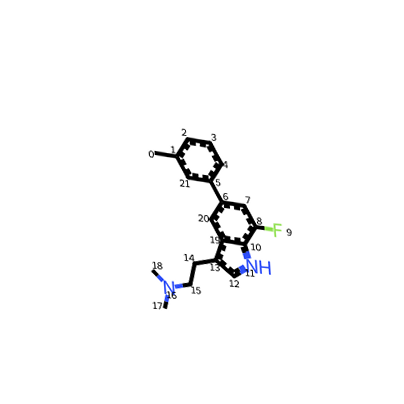 Cc1cccc(-c2cc(F)c3[nH]cc(CCN(C)C)c3c2)c1